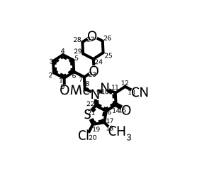 COc1ccccc1C(Cn1nc(CC#N)c(=O)c2c(C)c(Cl)sc21)OC1CCOCC1